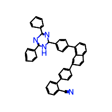 N#Cc1ccccc1-c1ccc(-c2ccc3cccc(-c4ccc(C5N=C(c6ccccc6)N=C(c6ccccc6)N5)cc4)c3c2)cc1